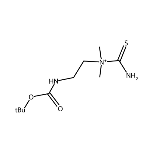 CC(C)(C)OC(=O)NCC[N+](C)(C)C(N)=S